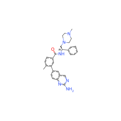 Cc1ccc(C(=O)N[C@@H](CN2CCN(C)CC2)c2ccccc2)cc1-c1ccc2nc(N)ncc2c1